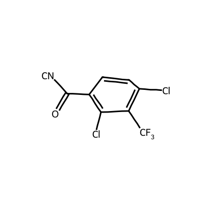 [C-]#[N+]C(=O)c1ccc(Cl)c(C(F)(F)F)c1Cl